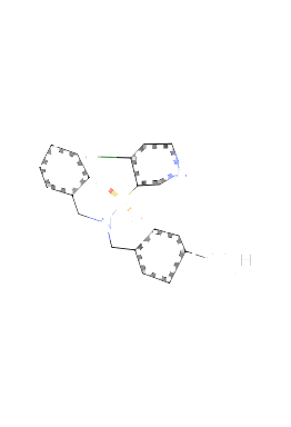 O=C(O)c1ccc(CN(Cc2ccccc2)S(=O)(=O)c2cnccc2Cl)cc1